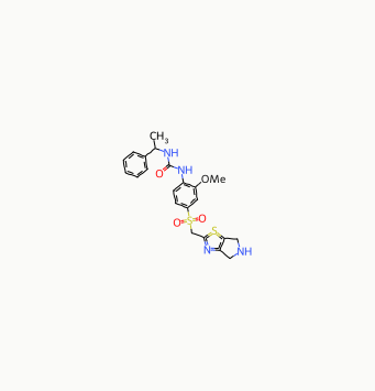 COc1cc(S(=O)(=O)Cc2nc3c(s2)CNC3)ccc1NC(=O)NC(C)c1ccccc1